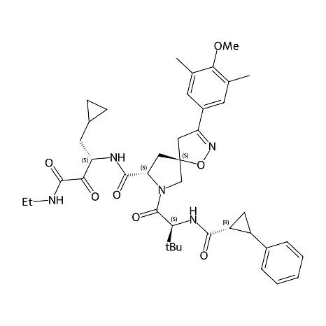 CCNC(=O)C(=O)[C@H](CC1CC1)NC(=O)[C@@H]1C[C@]2(CC(c3cc(C)c(OC)c(C)c3)=NO2)CN1C(=O)[C@@H](NC(=O)[C@@H]1CC1c1ccccc1)C(C)(C)C